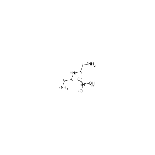 NCCNCCN.O=[N+]([O-])O